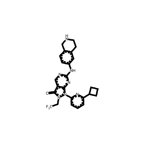 O=c1c2cnc(Nc3ccc4c(c3)CCNC4)nc2n(-c2cccc(C3CCC3)n2)n1CC(F)(F)F